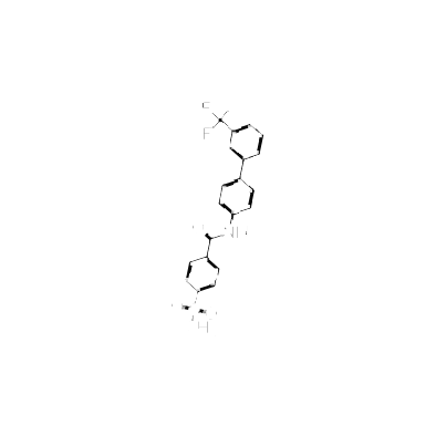 CS(=O)(=O)c1ccc(C(=O)Nc2ccc(-c3cccc(C(F)(F)F)c3)cc2)cc1